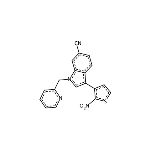 N#Cc1ccc2c(-c3ccsc3[N+](=O)[O-])cn(Cc3ccccn3)c2c1